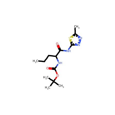 CCCC(NC(=O)OC(C)(C)C)C(=O)Nc1nnc(C)s1